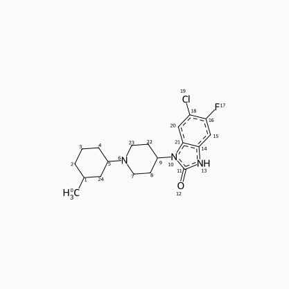 CC1CCCC(N2CCC(n3c(=O)[nH]c4cc(F)c(Cl)cc43)CC2)C1